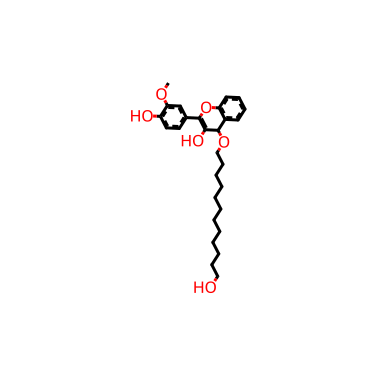 COc1cc(C2=C(O)C(OCCCCCCCCCCCCO)c3ccccc3O2)ccc1O